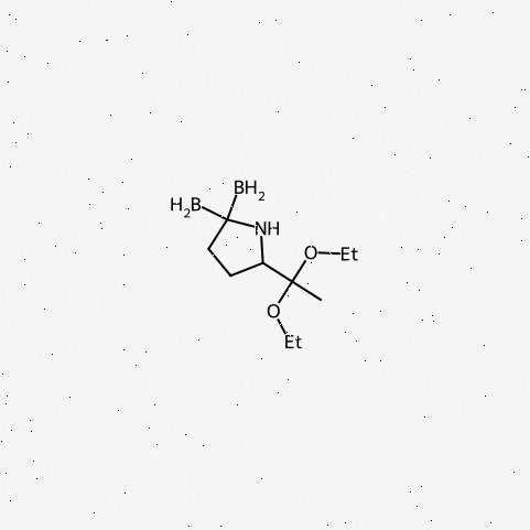 BC1(B)CCC(C(C)(OCC)OCC)N1